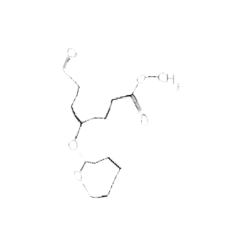 COC(=O)CCC(CCC=O)O[C@@H]1CCCCO1